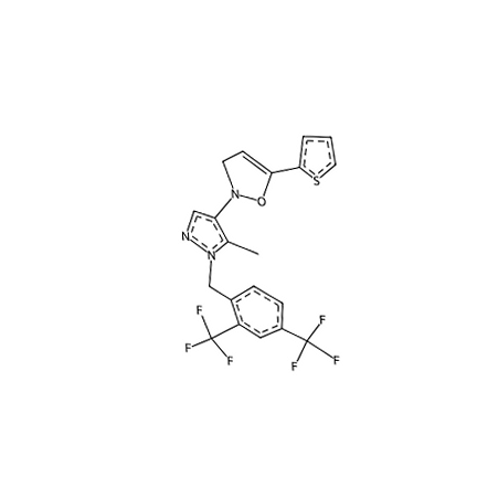 Cc1c(N2CC=C(c3cccs3)O2)cnn1Cc1ccc(C(F)(F)F)cc1C(F)(F)F